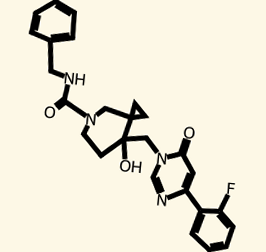 O=C(NCc1ccccc1)N1CCC(O)(Cn2cnc(-c3ccccc3F)cc2=O)C2(CC2)C1